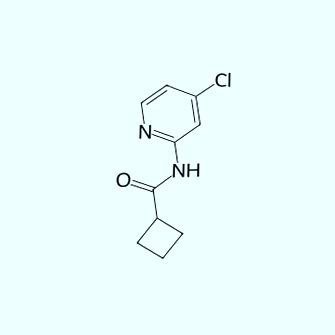 O=C(Nc1cc(Cl)ccn1)C1CCC1